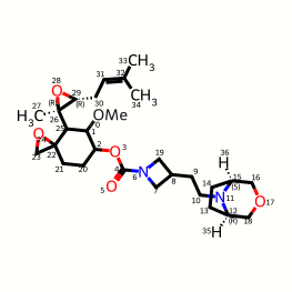 COC1C(OC(=O)N2CC(CCN3[C@@H]4CC[C@H]3COC4)C2)CCC2(CO2)C1[C@@]1(C)O[C@@H]1CC=C(C)C